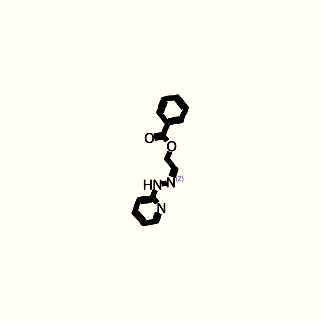 O=C(OC/C=N\Nc1ccccn1)c1ccccc1